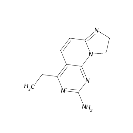 CCc1nc(N)nc2c1C=CC1=NCCN12